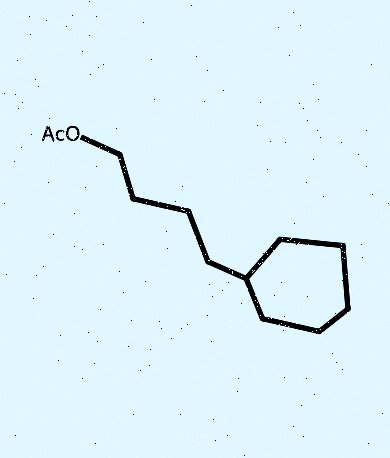 CC(=O)OCCCCC1CCCCC1